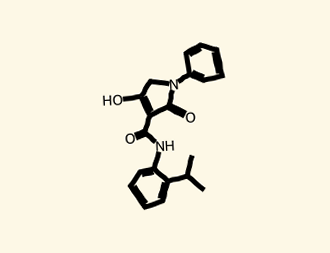 CC(C)c1ccccc1NC(=O)C1=C(O)CN(c2ccccc2)C1=O